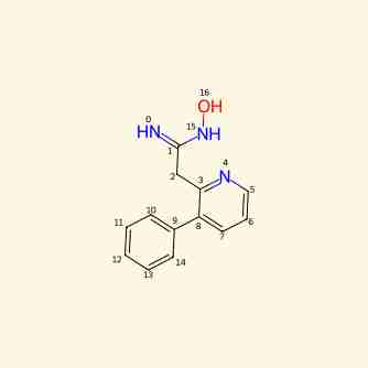 N=C(Cc1ncccc1-c1ccccc1)NO